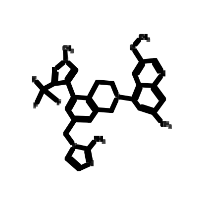 COc1cnc2cc(C)cc(N3CCc4c(cc(Cn5ccnc5N)cc4-c4cn(C)nc4C(F)(F)F)C3)c2c1